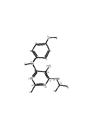 COc1ccc(N(C)c2nc(C)nc(NC(C)C)c2Cl)cc1